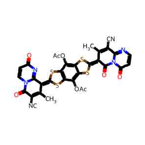 [C-]#[N+]c1c(C)c(=C2Sc3c(OC(C)=O)c4c(c(OC(C)=O)c3S2)SC(=c2c(C)c(C#N)c3nccc(=O)n3c2=O)S4)c2nc(=O)ccn2c1=O